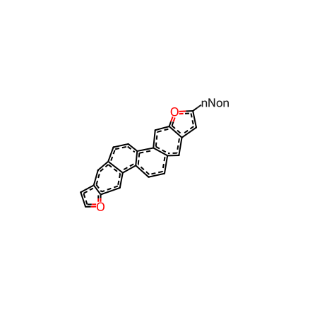 CCCCCCCCCc1cc2cc3ccc4c5cc6occc6cc5ccc4c3cc2o1